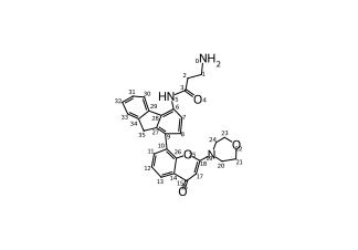 NCCC(=O)Nc1ccc(-c2cccc3c(=O)cc(N4CCOCC4)oc23)c2c1-c1ccccc1C2